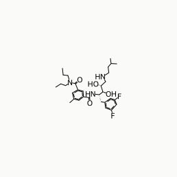 CCCN(CCC)C(=O)c1cc(C)cc(C(=O)N[C@@H](Cc2cc(F)cc(F)c2)[C@H](O)[C@H](O)CNCCC(C)C)c1